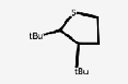 CC(C)(C)C1CCSC1C(C)(C)C